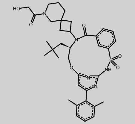 Cc1cccc(C)c1-c1cc2nc(n1)NS(=O)(=O)c1cccc(c1)C(=O)N(C1CC3(CCCN(C(=O)CO)C3)C1)[C@H](CC(C)(C)C)CO2